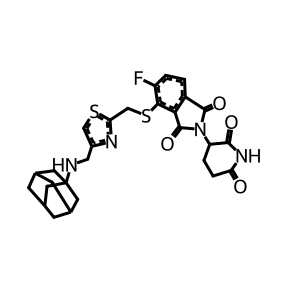 O=C1CCC(N2C(=O)c3ccc(F)c(SCc4nc(CNC56CC7CC(CC(C7)C5)C6)cs4)c3C2=O)C(=O)N1